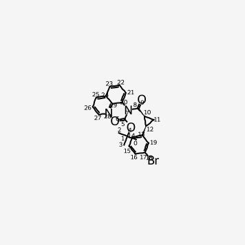 CC(C)(C)OC(=O)N(C(=O)[C@H]1C[C@H]1c1cccc(Br)c1)c1cccc2cccnc12